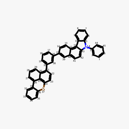 c1ccc(-n2c3ccccc3c3c4ccc(-c5cccc(-c6ccc7c8c(cccc68)-c6ccccc6S7)c5)cc4ccc32)cc1